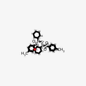 Cc1ccc(S(=O)(=O)N(SN(C2CCCCC2)S(=O)(=O)c2ccc(C)cc2)C2CCCCC2)cc1